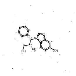 N#Cc1ccc2c(ccn2[C@@H](c2ccccc2)[C@H](O)CO)c1